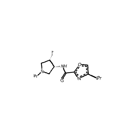 CC(C)c1coc(C(=O)N[C@@H]2CN(C(C)C)C[C@@H]2C)n1